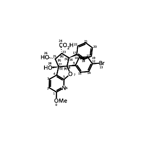 COc1ccc2c(n1)O[C@@]1(c3ccc(Br)cc3)[C@H](c3ccccc3)[C@@H](C(=O)O)[C@@H](O)[C@@]21O